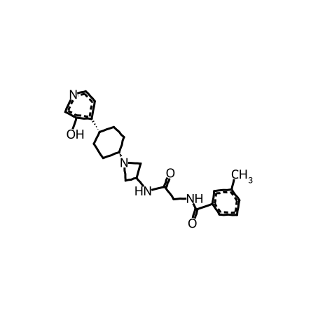 Cc1cccc(C(=O)NCC(=O)NC2CN([C@H]3CC[C@@H](c4ccncc4O)CC3)C2)c1